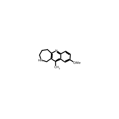 COc1ccc2nc3c(c(C)c2c1)CNCCC3